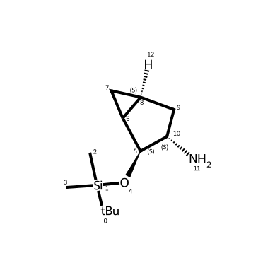 CC(C)(C)[Si](C)(C)O[C@H]1C2C[C@H]2C[C@@H]1N